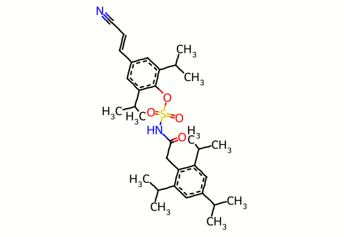 CC(C)c1cc(C(C)C)c(CC(=O)NS(=O)(=O)Oc2c(C(C)C)cc(C=CC#N)cc2C(C)C)c(C(C)C)c1